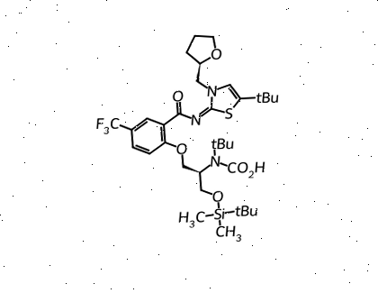 CC(C)(C)c1cn(C[C@H]2CCCO2)c(=NC(=O)c2cc(C(F)(F)F)ccc2OC[C@H](CO[Si](C)(C)C(C)(C)C)N(C(=O)O)C(C)(C)C)s1